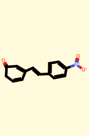 O=C1C=C(C=Cc2ccc([N+](=O)[O-])cc2)C=CC1